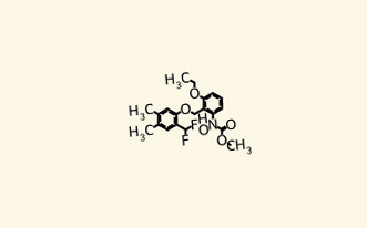 CCOc1cccc(N(O)C(=O)OC)c1COc1cc(C)c(C)cc1C(F)F